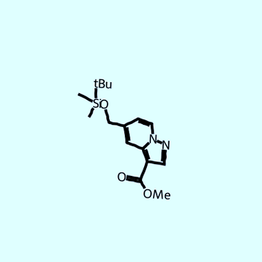 COC(=O)c1cnn2ccc(CO[Si](C)(C)C(C)(C)C)cc12